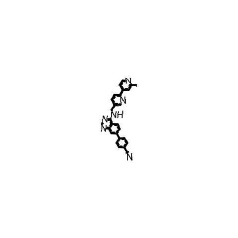 Cc1cc(-c2ccc(CNc3ncnc4cc(-c5ccc(C#N)cc5)ccc34)cn2)ccn1